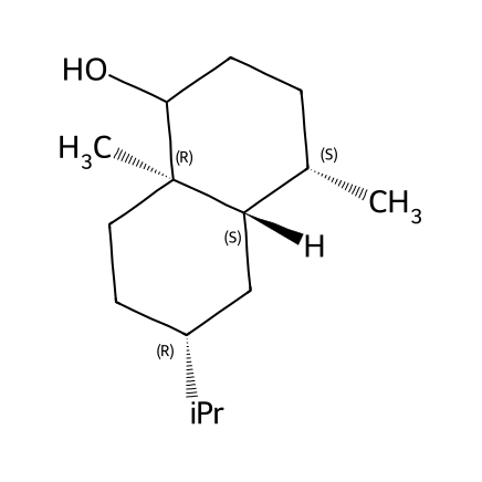 CC(C)[C@@H]1CC[C@@]2(C)C(O)CC[C@H](C)[C@@H]2C1